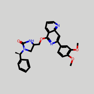 COc1ccc(-c2cc3ncccc3c(OCC3CN([C@H](C)c4ccccc4)C(=O)N3)n2)cc1OC